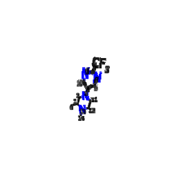 CC1CN(c2cnc(C(F)(F)F)nc2)CCN1C